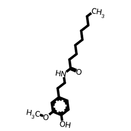 CCCCCCCCC(=O)NCCc1ccc(O)c(OC)c1